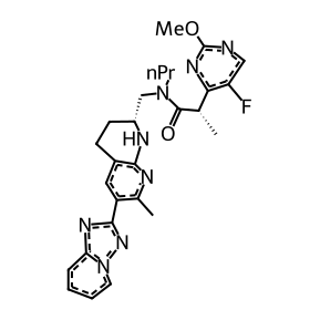 CCCN(C[C@H]1CCc2cc(-c3nc4ccccn4n3)c(C)nc2N1)C(=O)[C@@H](C)c1nc(OC)ncc1F